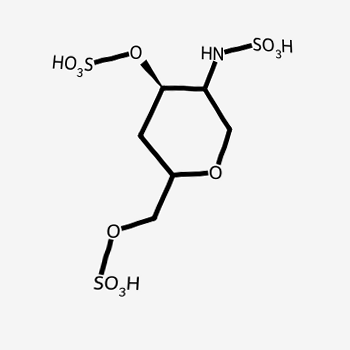 O=S(=O)(O)NC1COC(COS(=O)(=O)O)C[C@H]1OS(=O)(=O)O